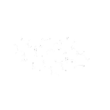 c1cc(-c2ccc3c4c2c2ccccc2n4-c2ccccc2O3)cc(-n2c3ccccc3c3ccccc32)c1